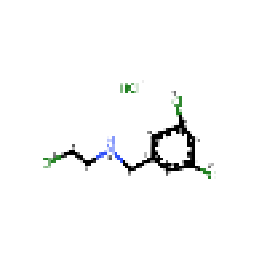 Cl.ClCCNCc1cc(Cl)cc(Cl)c1